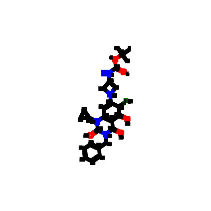 CC(C)(C)OC(=O)NC1CN(C2=Cc3c(c(=O)n(Cc4ccccc4)c(=O)n3C3CC3)C(=O)C2F)C1